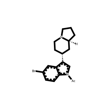 CC(=O)n1cc([C@@H]2CCN3CCC[C@H]3C2)c2cc(Br)ccc21